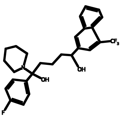 OC(CCCC(O)(c1ccc(F)cc1)N1CCCCC1)c1cc(C(F)(F)F)c2ccccc2c1